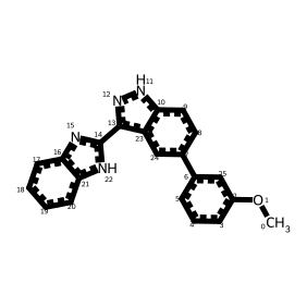 COc1cccc(-c2ccc3[nH]nc(-c4nc5ccccc5[nH]4)c3c2)c1